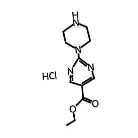 CCOC(=O)c1cnc(N2CCNCC2)nc1.Cl